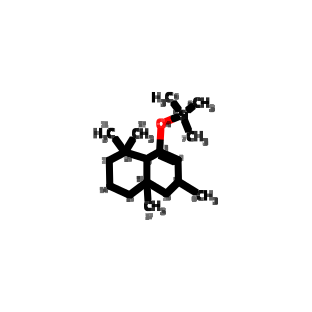 CC1C=C(O[Si](C)(C)C)C2C(C)(C)CCCC2(C)C1